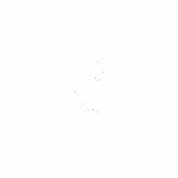 O=C1CCC(N2Cc3cc(C4CCN(C(=O)C5CCN(C(=O)C6CCCC(Nc7ncc(Cl)c(-c8cccc(-c9ccccc9)c8)n7)C6)CC5)CC4)ccc3C2=O)C(=O)N1